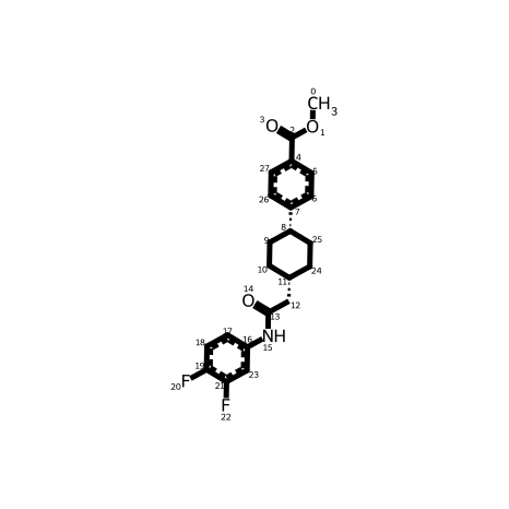 COC(=O)c1ccc([C@H]2CC[C@@H](CC(=O)Nc3ccc(F)c(F)c3)CC2)cc1